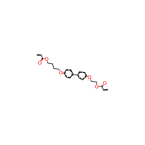 C=CC(=O)OCCCCOc1ccc(-c2ccc(OCCOC(=O)C=C)cc2)cc1